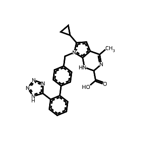 CC1=NC(C(=O)O)Nc2c1cc(C1CC1)n2Cc1ccc(-c2ccccc2-c2nnn[nH]2)cc1